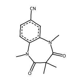 CN1C(=O)C(C)(C)C(=O)N(C)c2cc(C#N)ccc21